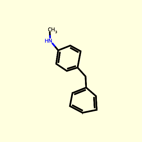 CNc1ccc(Cc2cc[c]cc2)cc1